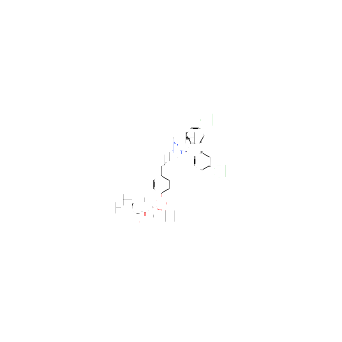 CN(CCCc1ccc(OC(C)(C)C(=O)C(F)(F)F)cc1)C(C)(c1ccc(Cl)cc1)c1ccc(Cl)cc1